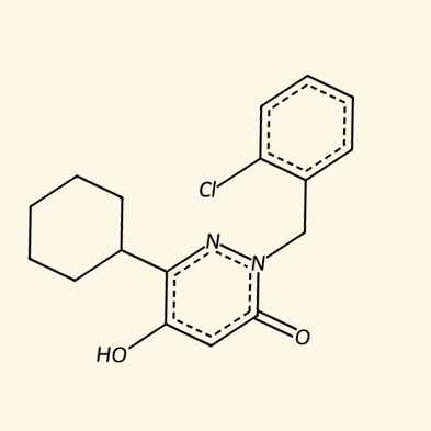 O=c1cc(O)c(C2CCCCC2)nn1Cc1ccccc1Cl